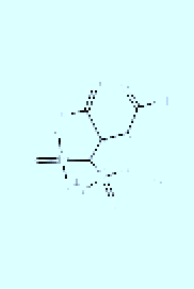 O.O=C(O)CC(C(=O)O)C(P(=O)(O)O)P(=O)(O)O